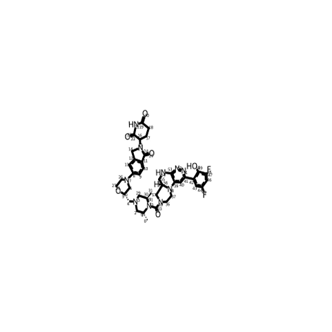 C[C@@H]1CN(C[C@H]2CN(c3ccc4c(c3)CN(C3CCC(=O)NC3=O)C4=O)CCO2)C[C@@H](C)N1C(=O)N1CCN2c3cc(-c4cc(F)cc(F)c4O)nnc3NC[C@H]2C1